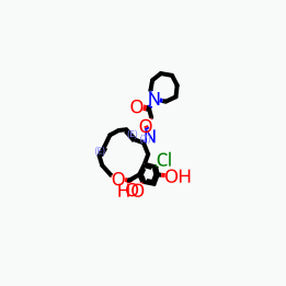 O=C1OCC/C=C/CC/C=C/C(=N\OCC(=O)N2CCCCCCC2)Cc2c(Cl)c(O)cc(O)c21